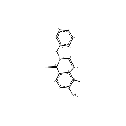 Bc1ccc2c(c1C)N=CN(Cc1ccccc1)C2=C